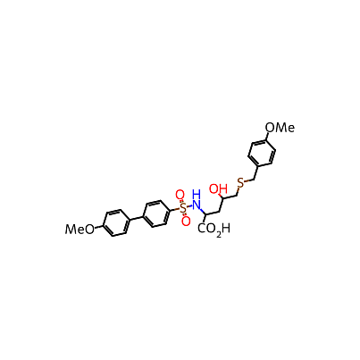 COc1ccc(CSCC(O)CC(NS(=O)(=O)c2ccc(-c3ccc(OC)cc3)cc2)C(=O)O)cc1